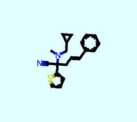 CN(CC1CC1)C(C#N)(CC=Cc1ccccc1)c1cccs1